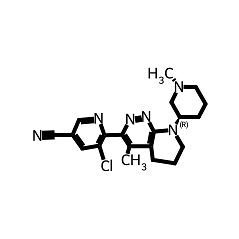 Cc1c(-c2ncc(C#N)cc2Cl)nnc2c1CCCN2[C@@H]1CCCN(C)C1